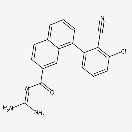 N#Cc1c(Cl)cccc1-c1cccc2ccc(C(=O)N=C(N)N)cc12